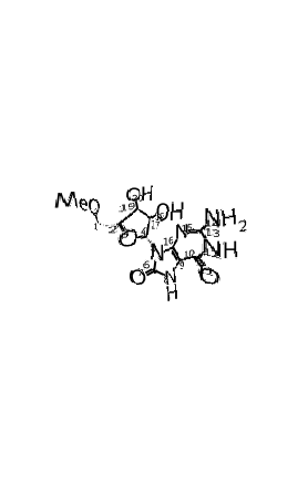 COC[C@H]1O[C@@H](n2c(=O)[nH]c3c(=O)[nH]c(N)nc32)C(O)C1O